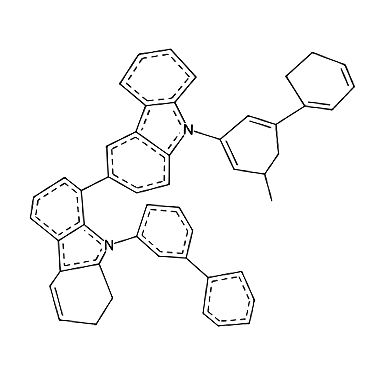 CC1C=C(n2c3ccccc3c3cc(-c4cccc5c6c(n(-c7cccc(-c8ccccc8)c7)c45)CCC=C6)ccc32)C=C(C2=CC=CCC2)C1